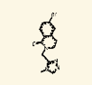 Cn1cnnc1Cn1ccc2cc(Br)ccc2c1=O